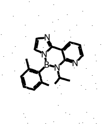 Cc1cccc(C)c1B1N(C(C)C)c2ncccc2-c2nccn21